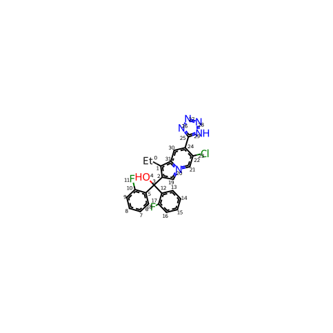 CCc1c(C(O)(c2ccccc2F)c2ccccc2F)cn2cc(Cl)c(-c3nnn[nH]3)cc12